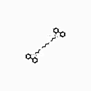 O=P1(CC(O)COCCCCOCC(O)CP2(=O)Oc3ccccc3-c3ccccc32)Oc2ccccc2-c2ccccc21